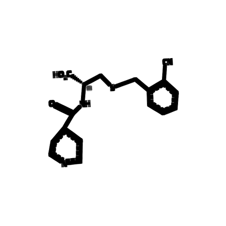 N#Cc1ccccc1CSC[C@H](NC(=O)c1ccncc1)C(=O)O